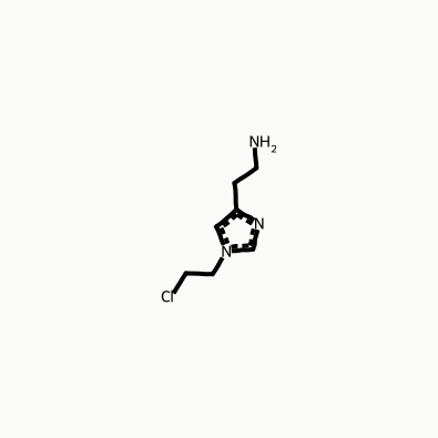 NCCc1cn(CCCl)cn1